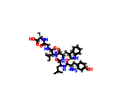 CC(C)C[C@H](NC(=O)[C@@H](N)Cc1ccc(O)cc1)C(=O)N[C@@H](Cc1c[nH]c2ccccc12)C(=O)N[C@H](C(=O)NCC(=O)N[C@@H](C)C(=O)O)C(C)C